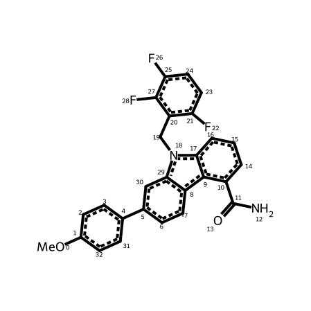 COc1ccc(-c2c[c]c3c4c(C(N)=O)cccc4n(Cc4c(F)ccc(F)c4F)c3c2)cc1